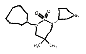 CC1(C)CN(C2CCCCCC2)S(=O)(=O)N([C@@H]2CCNC2)C1